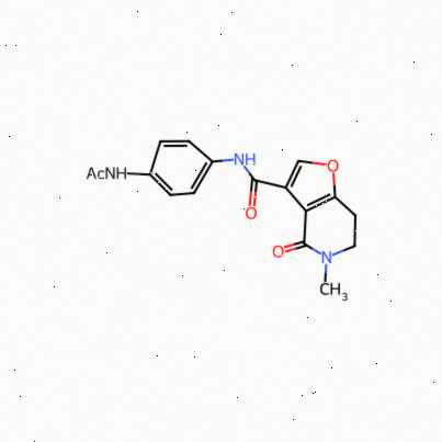 CC(=O)Nc1ccc(NC(=O)c2coc3c2C(=O)N(C)CC3)cc1